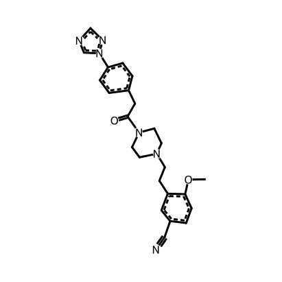 COc1ccc(C#N)cc1CCN1CCN(C(=O)Cc2ccc(-n3cncn3)cc2)CC1